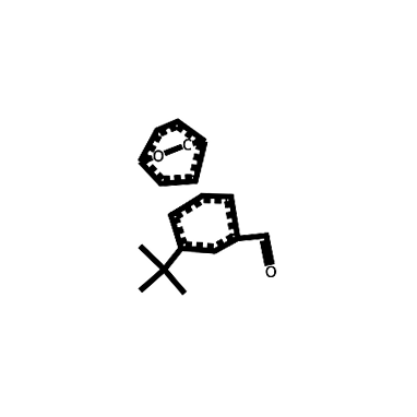 CC(C)(C)c1cccc(C=O)c1.c1cc2ccc1CO2